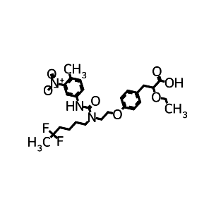 CCOC(Cc1ccc(OCCN(CCCCC(C)(F)F)C(=O)Nc2ccc(C)c([N+](=O)[O-])c2)cc1)C(=O)O